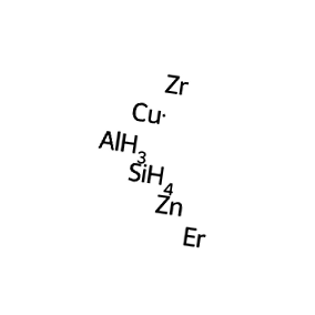 [AlH3].[Cu].[Er].[SiH4].[Zn].[Zr]